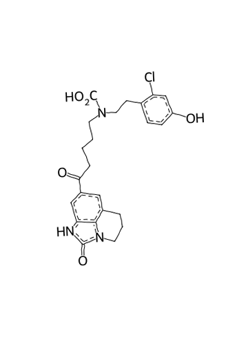 O=C(CCCCN(CCc1ccc(O)cc1Cl)C(=O)O)c1cc2c3c(c1)[nH]c(=O)n3CCC2